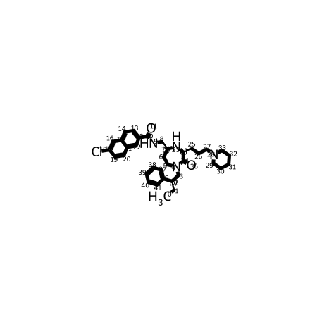 CC[C@H](CN1CC[C@@H](CNC(=O)c2ccc3cc(Cl)ccc3c2)N[C@@H](CCCN2CCCCC2)C1=O)c1ccccc1